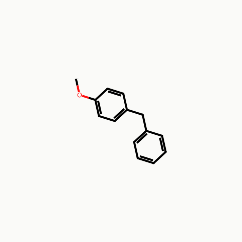 [CH2]Oc1ccc(Cc2ccccc2)cc1